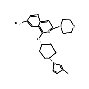 O=C(O)c1cnc2cc(N3CCOCC3)nc(O[C@H]3CC[C@@H](n4cc(F)cn4)CC3)c2c1